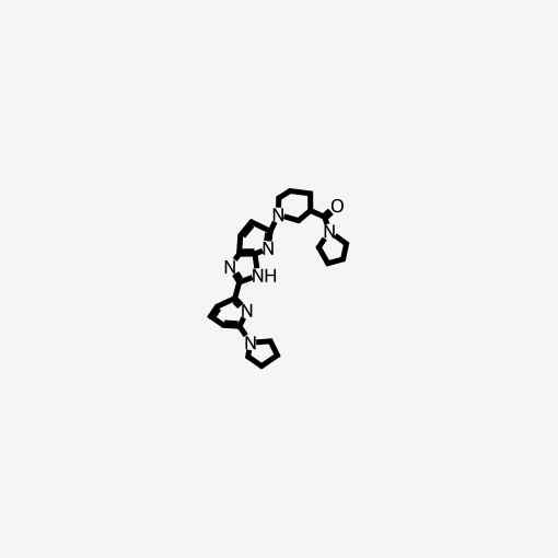 O=C(C1CCCN(c2ccc3nc(-c4cccc(N5CCCC5)n4)[nH]c3n2)C1)N1CCCC1